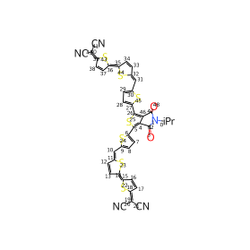 CC(C)N1C(=O)c2c(-c3ccc(/C=c4/cc/c(=c5/ccc(=C(C#N)C#N)s5)s4)s3)sc(-c3ccc(/C=c4/cc/c(=c5/ccc(=C(C#N)C#N)s5)s4)s3)c2C1=O